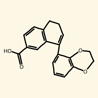 O=C(O)c1ccc2c(c1)C(c1cccc3c1OCCO3)=CCC2